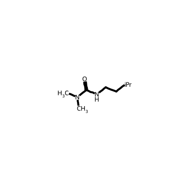 CC(C)CCNC(=O)N(C)C